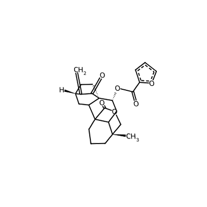 C=C1C(=O)[C@]23CC[C@H]1CC2C12CCC[C@@](C)(COC1=O)C2C[C@H]3OC(=O)c1ccco1